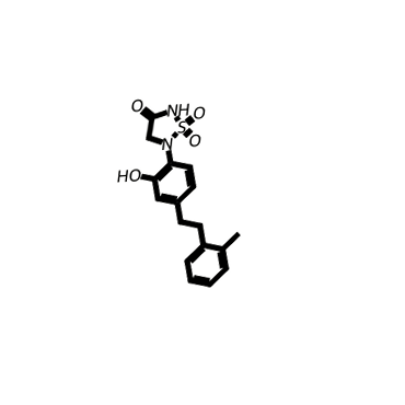 Cc1ccccc1CCc1ccc(N2CC(=O)NS2(=O)=O)c(O)c1